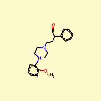 COc1ccccc1N1CCN(CCC(C=O)c2ccccc2)CC1